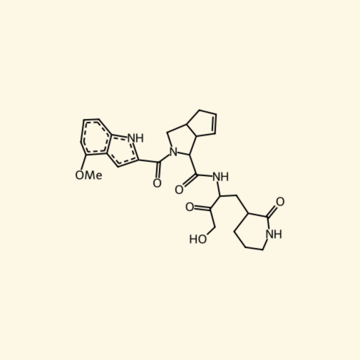 COc1cccc2[nH]c(C(=O)N3CC4CC=CC4C3C(=O)NC(CC3CCCNC3=O)C(=O)CO)cc12